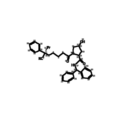 CC(C)[C@@](C#N)(CCCCC(=O)N1C[C@@H](O)C[C@H]1C(=O)NC(c1ccccc1)c1ccccc1)c1ccccc1